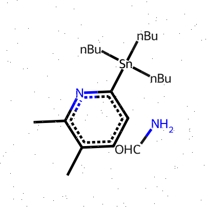 CCC[CH2][Sn]([CH2]CCC)([CH2]CCC)[c]1ccc(C)c(C)n1.NC=O